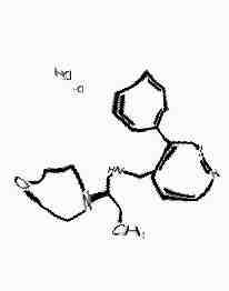 CC(Nc1ccnnc1-c1ccccc1)N1CCOCC1.Cl.Cl